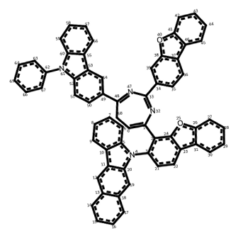 C1=C(c2c(-n3c4ccccc4c4cc5ccccc5cc43)ccc3c2oc2ccccc23)N=C(c2ccc3c(c2)oc2ccccc23)N=C(c2ccc3c(c2)c2ccccc2n3-c2ccccc2)C1